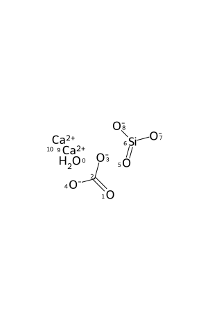 O.O=C([O-])[O-].O=[Si]([O-])[O-].[Ca+2].[Ca+2]